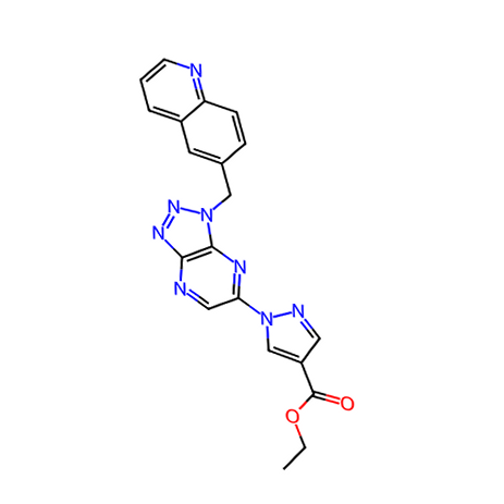 CCOC(=O)c1cnn(-c2cnc3nnn(Cc4ccc5ncccc5c4)c3n2)c1